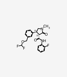 CN1C[C@H](c2cccc(COC(F)F)c2)[C@@H](C(=O)Nc2ccccc2F)C1=O